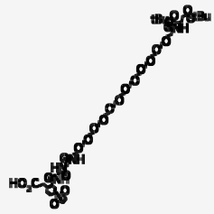 CC(C)(C)OC(=O)CCC(NC(=O)CCOCCOCCOCCOCCOCCOCCOCCOCCOCCOCCOCCOCCNC(=O)CNC(=O)CNC(=O)c1cc(N2C(=O)C=CC2=O)ccc1CCC(=O)O)C(=O)OC(C)(C)C